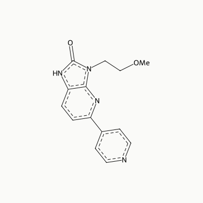 COCCn1c(=O)[nH]c2ccc(-c3ccncc3)nc21